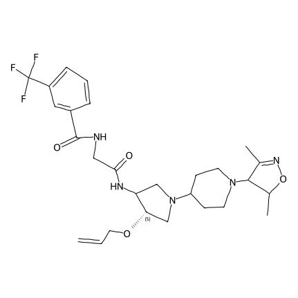 C=CCO[C@H]1CN(C2CCN(C3C(C)=NOC3C)CC2)CC1NC(=O)CNC(=O)c1cccc(C(F)(F)F)c1